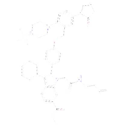 C=CCCNC(=O)Cn1c(-c2ccc(OCc3cc(N4CCCC4=O)ccc3N3CCN(S(C)(=O)=O)CC3)cc2)c(C2CCCCC2)c2ccc(C(=O)OC)cc21